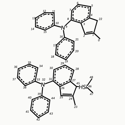 CC1=Cc2c(cccc2N(c2ccccc2)c2ccccc2)C1.CC1=Cc2c(cccc2N(c2ccccc2)c2ccccc2)C1[SiH](C)C